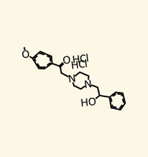 COc1ccc(C(=O)CN2CCN(CC(O)c3ccccc3)CC2)cc1.Cl.Cl